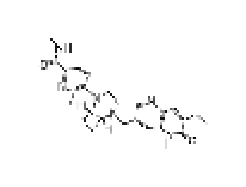 CCc1cc2ncc(CN3CCN(c4ccc(C(=O)NC)nc4C)[C@H]4CC[C@H]43)cc2[nH]c1=O